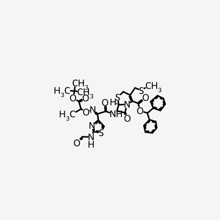 CSCC1=C(C(=O)OC(c2ccccc2)c2ccccc2)N2C(=O)C(NC(=O)/C(=N/OC(C)C(=O)OC(C)(C)C)c3csc(NC=O)n3)[C@H]2SC1